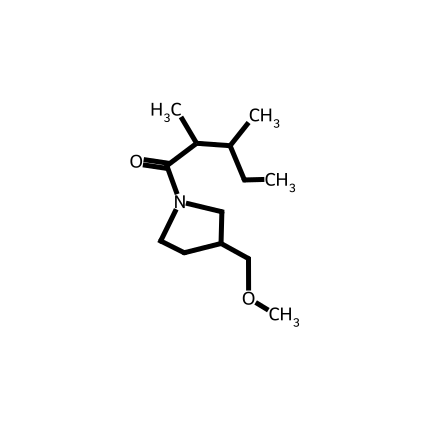 CCC(C)C(C)C(=O)N1CCC(COC)C1